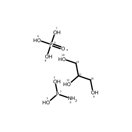 NP(O)O.O=P(O)(O)O.OCC(O)CO